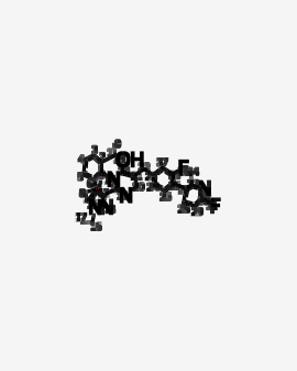 CCc1cccc(CC)c1N1C(c2ccn(CC)n2)=NCC(Cc2ccc(-c3ccc(F)nc3C)c(F)c2)=C1O